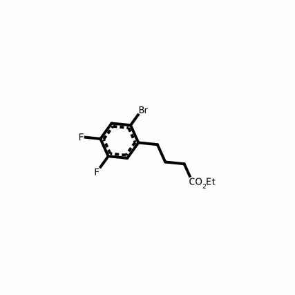 CCOC(=O)CCCc1cc(F)c(F)cc1Br